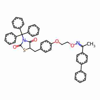 CC(=NOCCOc1ccc(CC2SC(=O)N(C(c3ccccc3)(c3ccccc3)c3ccccc3)C2=O)cc1)c1ccc(-c2ccccc2)cc1